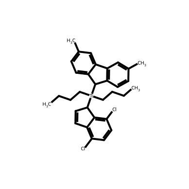 CCC[CH2][Ti]([CH2]CCC)([CH]1C=Cc2c(Cl)ccc(Cl)c21)[CH]1c2ccc(C)cc2-c2cc(C)ccc21